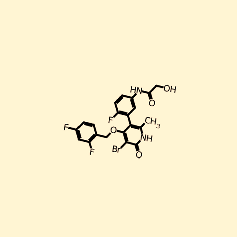 Cc1[nH]c(=O)c(Br)c(OCc2ccc(F)cc2F)c1-c1cc(NC(=O)CO)ccc1F